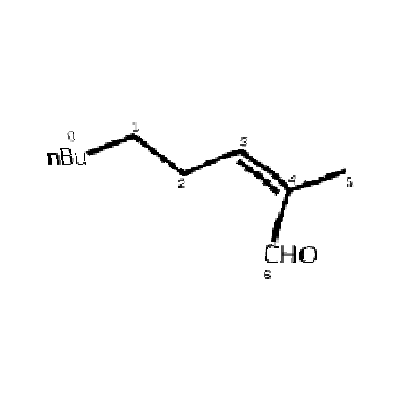 CCCCCC/C=C(/C)C=O